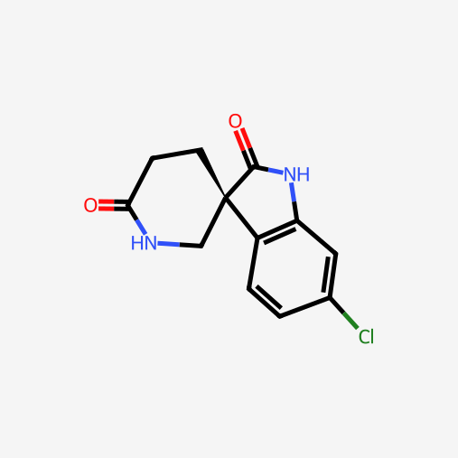 O=C1CC[C@@]2(CN1)C(=O)Nc1cc(Cl)ccc12